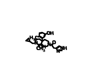 Cc1ccc(O)cc1C12CCN(C(=O)Cc3c[nH]cn3)CCC1(O)C(C)N(CC1CC1)CC2